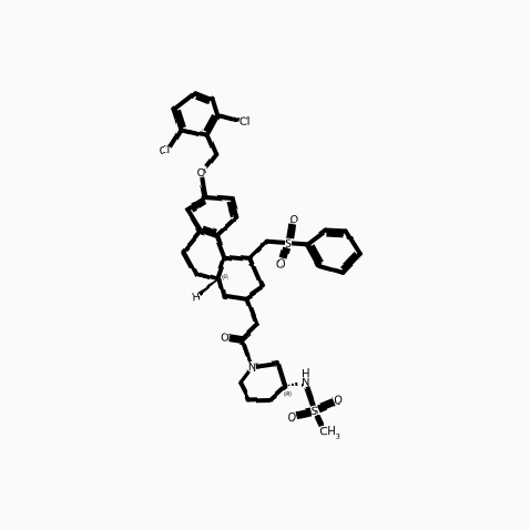 CS(=O)(=O)N[C@@H]1CCCN(C(=O)CC2CC(CS(=O)(=O)c3ccccc3)C3c4ccc(OCc5c(Cl)cccc5Cl)cc4CC[C@H]3C2)C1